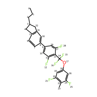 CCCC1Cc2ccc(-c3cc(F)c(C(F)(F)Oc4cc(F)c(C)c(F)c4)c(F)c3)cc2C1